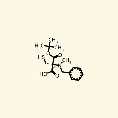 CN(Cc1ccccc1)[C@@](CS)(C(=O)O)C(=O)OC(C)(C)C